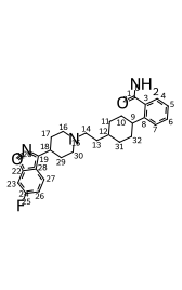 NC(=O)c1ccccc1C1CCC(CCN2CCC(c3noc4cc(F)ccc34)CC2)CC1